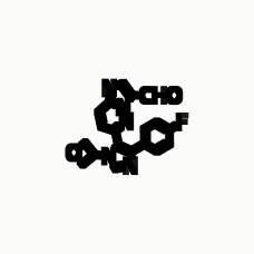 O=Cc1cnc2ccc(-c3c(-c4ccc(F)cc4)ncn3C3COC3)nn12